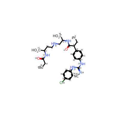 CC(C)CC(C(=O)NC(CNCCC(NC(=O)CC(C)(C)C)C(=O)O)C(=O)O)c1ccc(NC(=NC#N)Nc2ccc(Cl)cc2)cc1